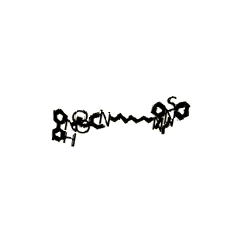 CC(CN1c2ccccc2Sc2ccccc21)[N+](C)(C)CCCCCCCCCN1CCC(OC(=O)Nc2ccccc2-c2ccccc2)CC1